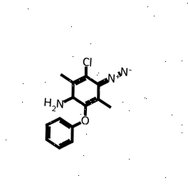 CC1=C(Oc2ccccc2)C(N)C(C)=C(Cl)C1=[N+]=[N-]